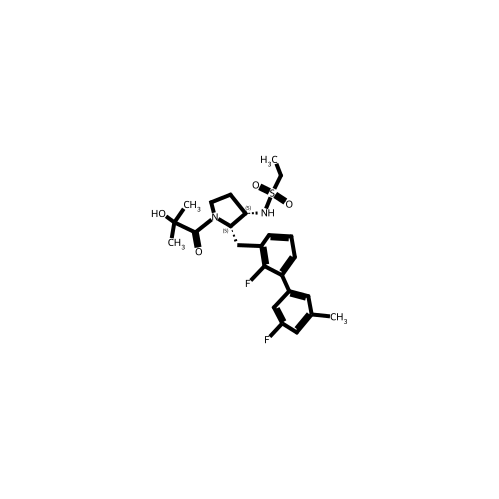 CCS(=O)(=O)N[C@H]1CCN(C(=O)C(C)(C)O)[C@H]1Cc1cccc(-c2cc(C)cc(F)c2)c1F